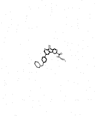 NNC(=O)c1cc2c(cn1)[nH]c1ncc(-c3ccc(CN4CCCCC4)cc3)cc12